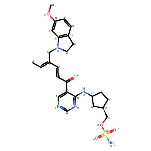 C/C=C(/C=C/C(=O)c1cncnc1NC1CC[C@@H](COS(N)(=O)=O)C1)CN1CCc2ccc(OC)cc21